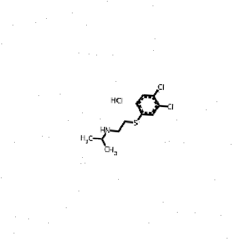 CC(C)NCCSc1ccc(Cl)c(Cl)c1.Cl